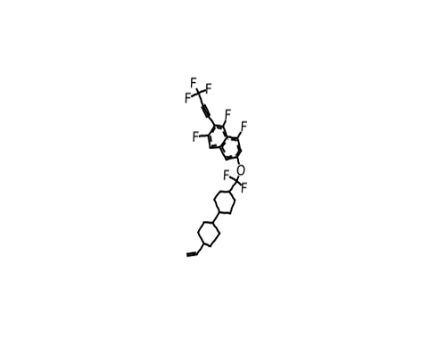 C=CC1CCC(C2CCC(C(F)(F)Oc3cc(F)c4c(F)c(C#CC(F)(F)F)c(F)cc4c3)CC2)CC1